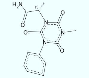 C[C@@H](C(N)=O)n1c(=O)n(C)c(=O)n(-c2ccccc2)c1=O